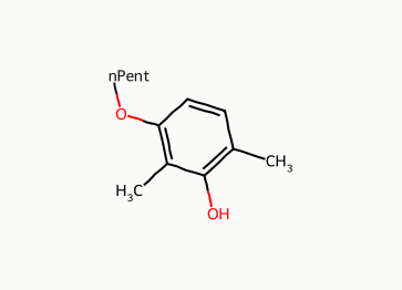 CCCCCOc1ccc(C)c(O)c1C